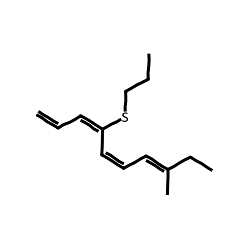 C=C\C=C(/C=C\C=C(/C)CC)SCCC